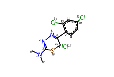 CN(C)C1=NN=C(c2ccc(Cl)cc2Cl)CS1.Cl